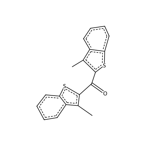 Cc1c(C(=O)c2sc3ccccc3c2C)sc2ccccc12